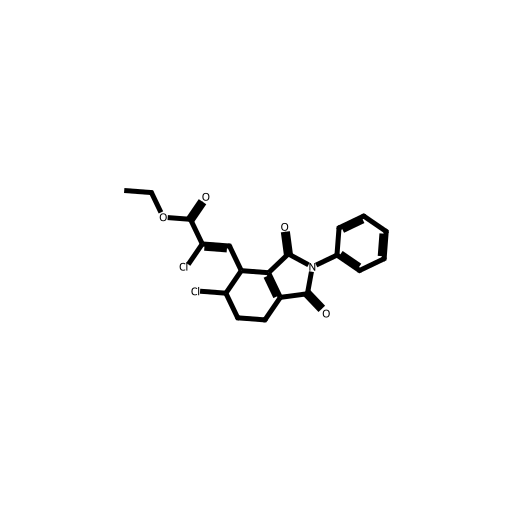 CCOC(=O)C(Cl)=CC1C2=C(CCC1Cl)C(=O)N(c1ccccc1)C2=O